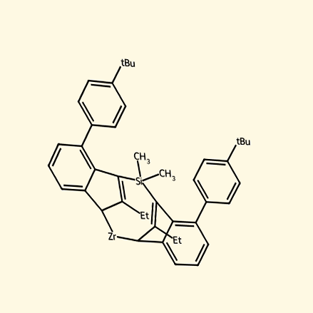 CCC1=C2c3c(-c4ccc(C(C)(C)C)cc4)cccc3[CH]1[Zr][CH]1C(CC)=C(c3c(-c4ccc(C(C)(C)C)cc4)cccc31)[Si]2(C)C